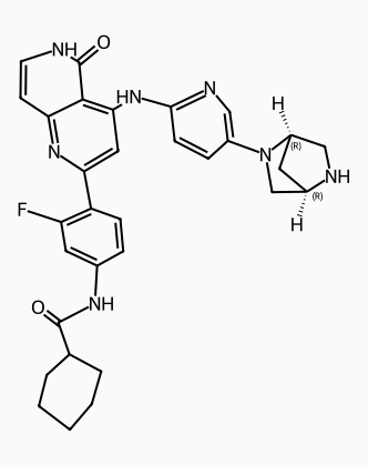 O=C(Nc1ccc(-c2cc(Nc3ccc(N4C[C@H]5C[C@@H]4CN5)cn3)c3c(=O)[nH]ccc3n2)c(F)c1)C1CCCCC1